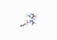 CCCCOC(=O)NCC(Nc1nc(Cl)ncc1Br)C(C)C